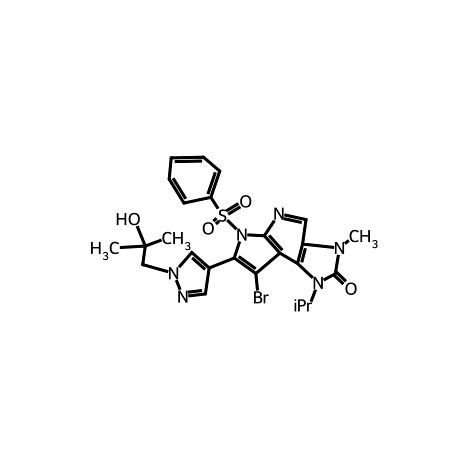 CC(C)n1c(=O)n(C)c2cnc3c(c(Br)c(-c4cnn(CC(C)(C)O)c4)n3S(=O)(=O)c3ccccc3)c21